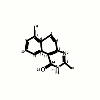 Cc1nc2ccc3c(I)cccc3c2c(=O)[nH]1